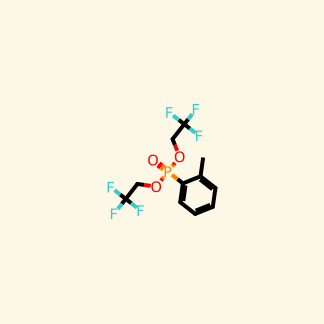 Cc1ccccc1P(=O)(OCC(F)(F)F)OCC(F)(F)F